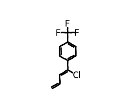 C=C/C=C(\Cl)c1ccc(C(F)(F)F)cc1